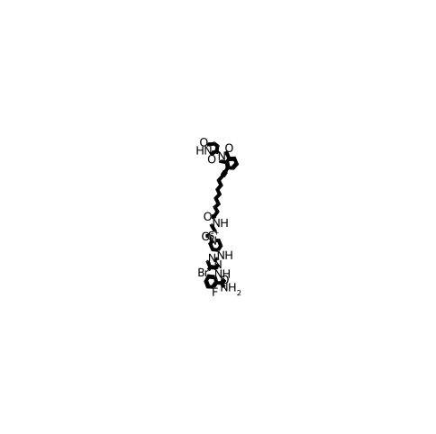 NC(=O)c1c(F)cccc1Nc1nc(NC2CCN([S+]([O-])CCNC(=O)CCCCCCCCC#Cc3cccc4c3CN(C3CCC(=O)NC3=O)C4=O)CC2)ncc1Br